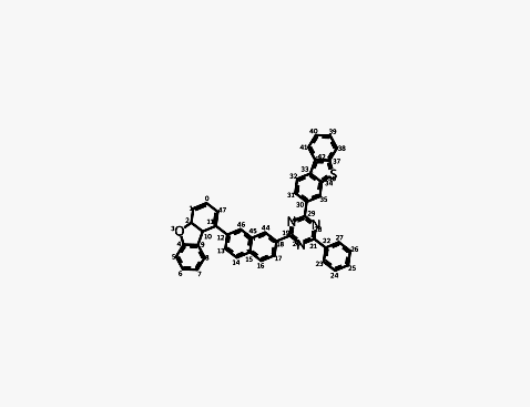 C1=CC2Oc3ccccc3C2C(c2ccc3ccc(-c4nc(-c5ccccc5)nc(-c5ccc6c(c5)sc5ccccc56)n4)cc3c2)=C1